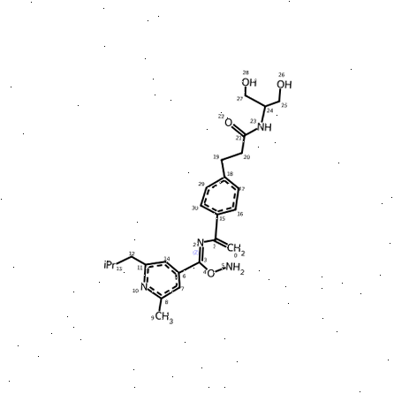 C=C(/N=C(\ON)c1cc(C)nc(CC(C)C)c1)c1ccc(CCC(=O)NC(CO)CO)cc1